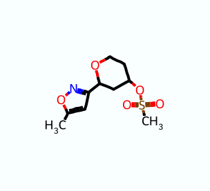 Cc1cc(C2CC(OS(C)(=O)=O)CCO2)no1